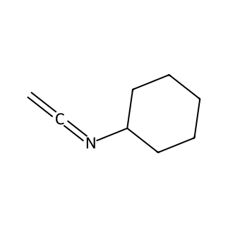 C=C=NC1CCCCC1